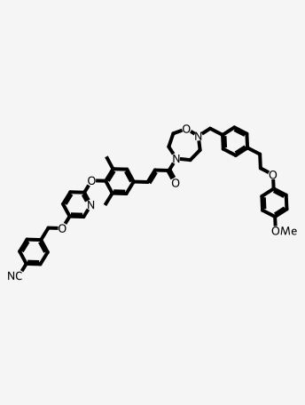 COc1ccc(OCCc2ccc(CN3CCN(C(=O)/C=C/c4cc(C)c(Oc5ccc(OCc6ccc(C#N)cc6)cn5)c(C)c4)CCO3)cc2)cc1